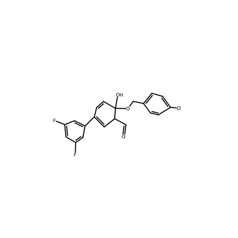 O=CC1C=C(c2cc(F)cc(F)c2)C=CC1(O)OCc1ccc(Cl)cc1